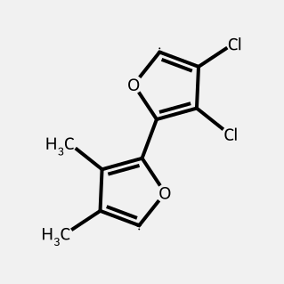 Cc1[c]oc(-c2o[c]c(Cl)c2Cl)c1C